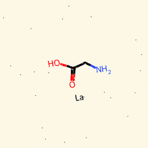 NCC(=O)O.[La]